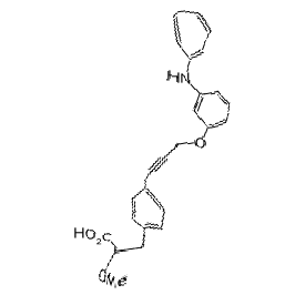 COC(Cc1ccc(C#CCOc2cccc(Nc3ccccc3)c2)cc1)C(=O)O